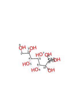 OC[C@@H](O)[C@@H](O)[C@H](O)[C@@H](O)C(O)[SiH](O)O